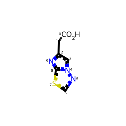 O=C(O)Cc1cn2ncsc2n1